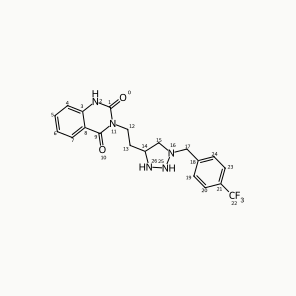 O=c1[nH]c2ccccc2c(=O)n1CCC1CN(Cc2ccc(C(F)(F)F)cc2)NN1